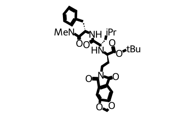 CNC(=O)[C@H](Cc1ccccc1)NC(=O)[C@H](CC(C)C)N[C@H](CCN1C(=O)c2cc3c(cc2C1=O)OCO3)C(=O)OC(C)(C)C